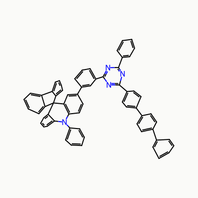 c1ccc(-c2ccc(-c3ccc(-c4nc(-c5ccccc5)nc(-c5cccc(-c6ccc7c(c6)C6(c8ccccc8-c8ccccc86)c6ccccc6N7c6ccccc6)c5)n4)cc3)cc2)cc1